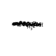 CCN(CC)c1ccc2c(C)c(-c3ccc(-c4cccc5c(-c6cccc7c(-c8cccc(-c9cc%10cc%11ccccc%11cc%10oc9=O)c8)cccc67)cccc45)o3)c(=O)oc2c1